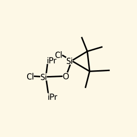 CC(C)[Si](Cl)(O[Si]1(Cl)C(C)(C)C1(C)C)C(C)C